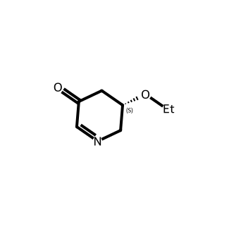 CCO[C@@H]1CN=CC(=O)C1